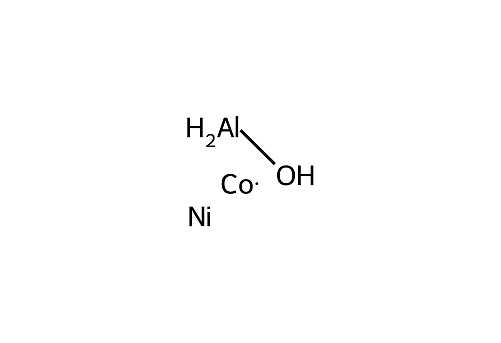 [Co].[Ni].[OH][AlH2]